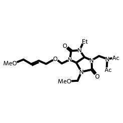 CCN1C(=O)N(COC/C=C/COC)C2C1N(CN(C(C)=O)C(C)=O)C(=O)N2COC